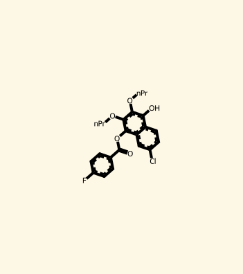 CCCOc1c(OCCC)c(OC(=O)c2ccc(F)cc2)c2cc(Cl)ccc2c1O